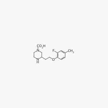 Cc1ccc(OCCC2CN(C(=O)O)CCN2)c(F)c1